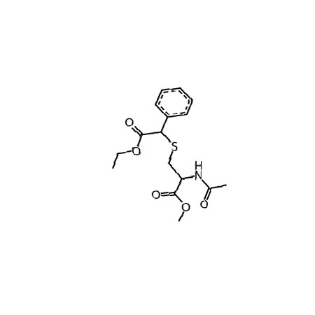 CCOC(=O)C(SCC(NC(C)=O)C(=O)OC)c1ccccc1